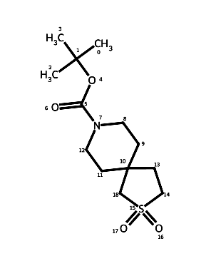 CC(C)(C)OC(=O)N1CCC2(CC1)CCS(=O)(=O)C2